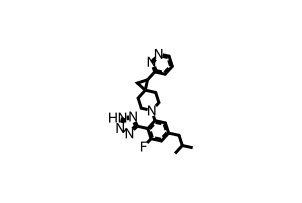 CC(C)Cc1cc(F)c(-c2nn[nH]n2)c(N2CCC3(CC2)CC3c2cccnn2)c1